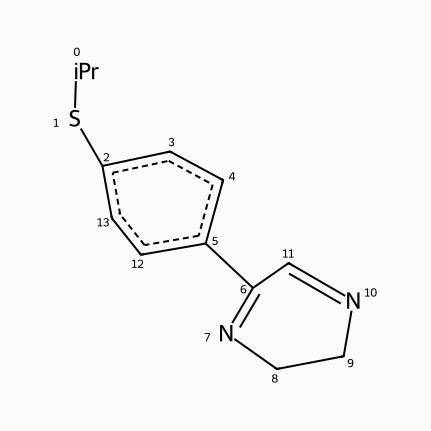 CC(C)Sc1ccc(C2=NCCN=C2)cc1